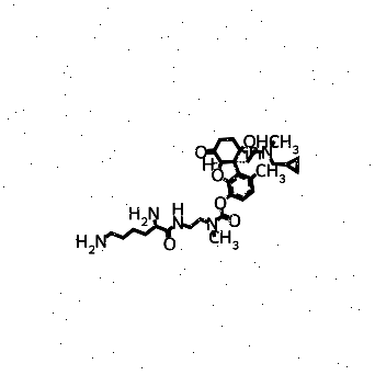 Cc1ccc(OC(=O)N(C)CCNC(=O)C(N)CCCCN)c2c1[C@@]1(CCN(C)CC3CC3)[C@@H](O2)C(=O)CC[C@@]1(O)C(C)C